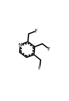 FCc1ccnc(CF)c1CF